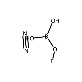 N#N.OB(O)OF